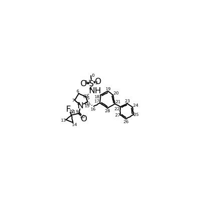 CS(=O)(=O)N[C@H]1CCN(C(=O)C2(F)CC2)[C@H]1Cc1cccc(-c2ccccc2)c1